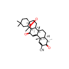 C[C@@H]1C(=O)C(C#N)=C[C@]2(C)C3=CC(=O)[C@]45OC(=O)[C@@]6(CCC(C)(C)CC64)CC[C@@]5(C)[C@]3(C)CC[C@@H]12